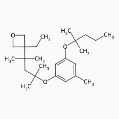 CCCC(C)(C)Oc1cc(C)cc(OC(C)(C)CC(C)(C)C2(CC)COC2)c1